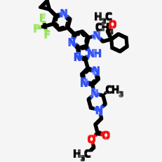 CCOC(=O)CCN1CCN(c2cnc(-c3nc4nc(-c5cnc(C6CC6)c(C(F)(F)F)c5)cc(N(C)CC5(COC)CCCCC5)c4[nH]3)cn2)[C@H](C)C1